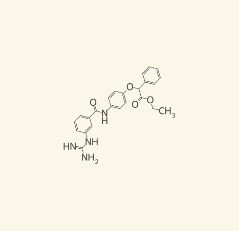 CCOC(=O)C(Oc1ccc(NC(=O)c2cccc(NC(=N)N)c2)cc1)c1ccccc1